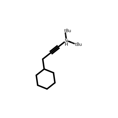 CC(C)(C)[SiH](C#CCC1CCCCC1)C(C)(C)C